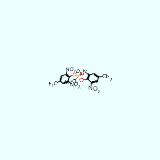 COP(=O)(Oc1c([N+](=O)[O-])cc(C(F)(F)F)cc1[N+](=O)[O-])Oc1c([N+](=O)[O-])cc(C(F)(F)F)cc1[N+](=O)[O-]